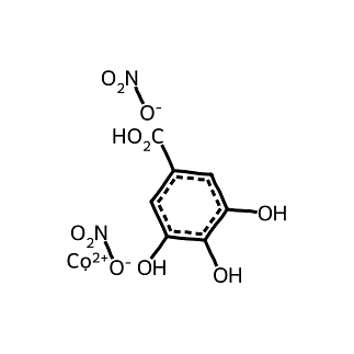 O=C(O)c1cc(O)c(O)c(O)c1.O=[N+]([O-])[O-].O=[N+]([O-])[O-].[Co+2]